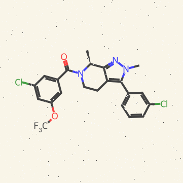 C[C@H]1c2nn(C)c(-c3cccc(Cl)c3)c2CCN1C(=O)c1cc(Cl)cc(OC(F)(F)F)c1